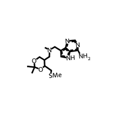 CSCC1OC(C)(C)OCC1CN(C)Cc1c[nH]c2c(N)ncnc12